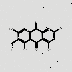 CC(=O)c1cc(O)c2c(c1)C(=O)c1cc(O)c(CO)c(O)c1C2=O